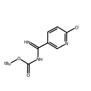 CC(C)(C)OC(=O)NC(=N)c1ccc(Cl)nc1